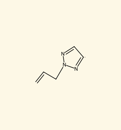 C=CCn1n[c]cn1